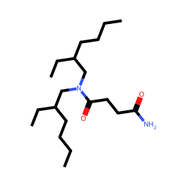 CCCCC(CC)CN(CC(CC)CCCC)C(=O)CCC(N)=O